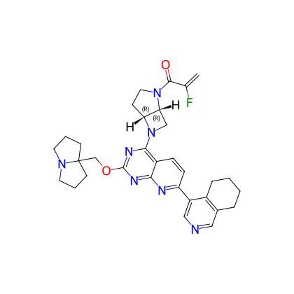 C=C(F)C(=O)N1CC[C@@H]2[C@H]1CN2c1nc(OCC23CCCN2CCC3)nc2nc(-c3cncc4c3CCCC4)ccc12